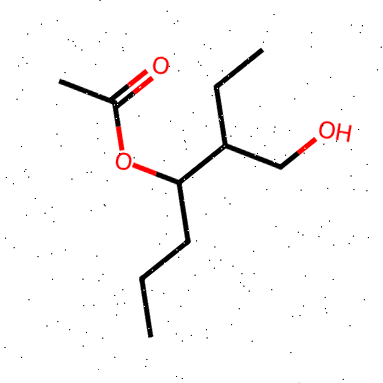 CCCC(OC(C)=O)C(CC)CO